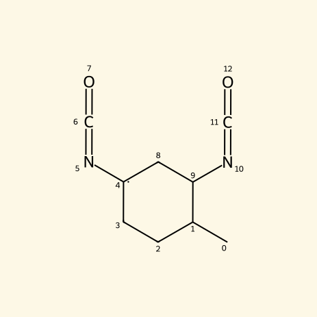 CC1CC[C](N=C=O)CC1N=C=O